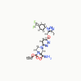 Cc1nnn(-c2ccc(C(F)F)cc2)c1COc1ccc(N2CCN(C(=O)OC(C)(C)C)[C@H](C(N)=O)C2)nn1